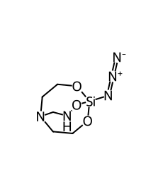 [N-]=[N+]=N[Si]12OCCN(CCO1)CNO2